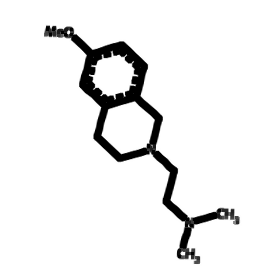 COc1ccc2c(c1)CCN(CCN(C)C)C2